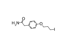 NC(=O)Cc1ccc(OCCCI)cc1